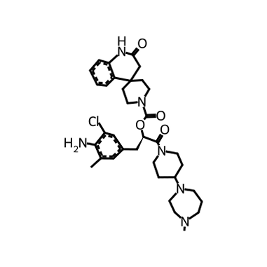 Cc1cc(C[C@@H](OC(=O)N2CCC3(CC2)CC(=O)Nc2ccccc23)C(=O)N2CCC(N3CCCN(C)CC3)CC2)cc(Cl)c1N